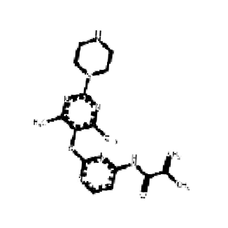 C=C(C)C(=O)Nc1ccnc(Sc2c(C)nc(N3CCNCC3)nc2C)n1